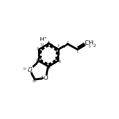 C=CCc1ccc2c(c1)OCO2.[H+]